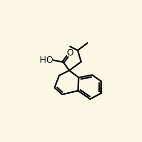 CC(C)CC1(C(=O)O)CC=Cc2ccccc21